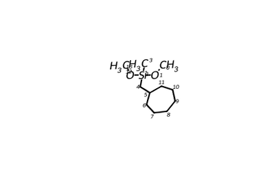 CO[Si](C)(CC1CCCCCC1)OC